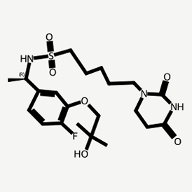 C[C@@H](NS(=O)(=O)CCCCCN1CCC(=O)NC1=O)c1ccc(F)c(OCC(C)(C)O)c1